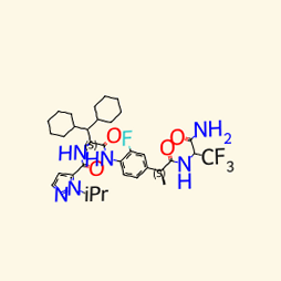 CC(C)n1nccc1C(=O)N[C@H](C(=O)Nc1ccc([C@H](C)C(=O)NC(C(N)=O)C(F)(F)F)cc1F)C(C1CCCCC1)C1CCCCC1